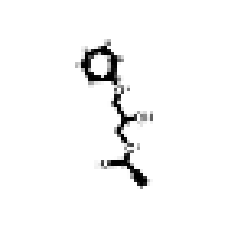 C#CC(=O)OCC(O)COc1ccccc1